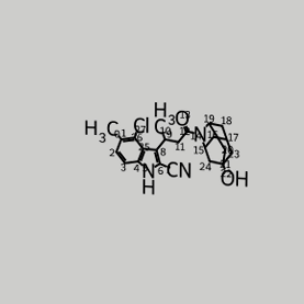 Cc1ccc2[nH]c(C#N)c(C(C)CC(=O)N3C4CC5CC3CC(O)(C5)C4)c2c1Cl